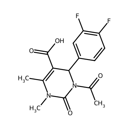 CC(=O)N1C(=O)N(C)C(C)=C(C(=O)O)C1c1ccc(F)c(F)c1